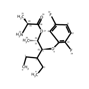 CCC(CC)[C@H](Oc1cc(F)ccc1F)[C@H](C)OC(=O)[C@H](C)N